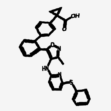 Cc1noc(-c2ccccc2-c2ccc(C3(C(=O)O)CC3)cc2)c1Nc1cccc(Sc2ccccc2)n1